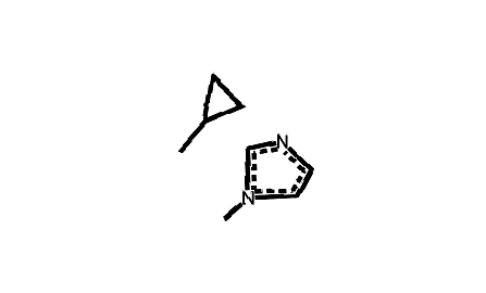 CC1CC1.Cn1ccnc1